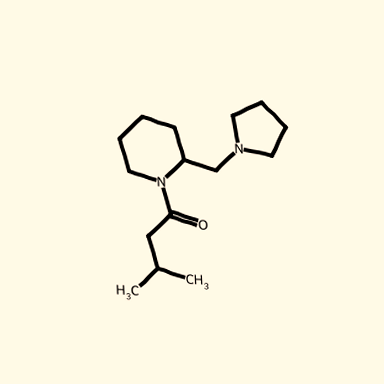 CC(C)CC(=O)N1CCCCC1CN1CCCC1